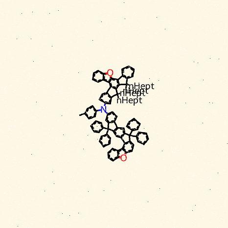 CCCCCCCC1(CCCCCCC)c2ccccc2-c2c1c1c(c3c2oc2ccccc23)-c2ccc(N(c3ccc(C)cc3)c3ccc4c(c3)C(c3ccccc3)(c3ccccc3)c3cc5c(cc3-4)C(c3ccccc3)(c3ccccc3)c3ccc4oc6ccccc6c4c3-5)cc2C1(CCCCCCC)CCCCCCC